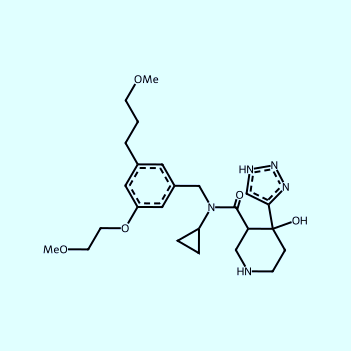 COCCCc1cc(CN(C(=O)C2CNCCC2(O)c2c[nH]nn2)C2CC2)cc(OCCOC)c1